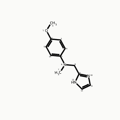 COc1ccc(N(C)Cc2ncc[nH]2)cc1